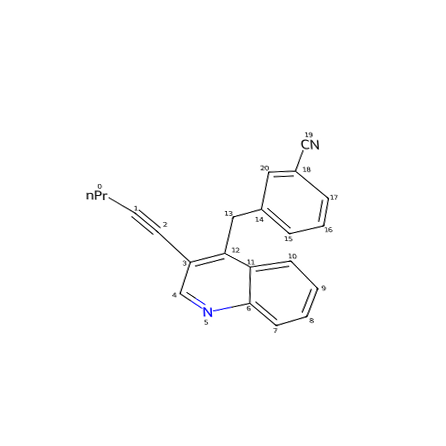 CCCC#Cc1cnc2ccccc2c1Cc1cccc(C#N)c1